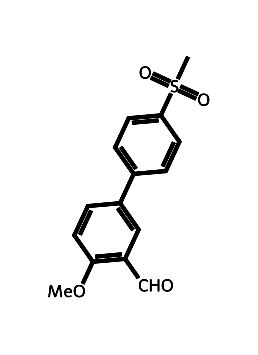 COc1ccc(-c2ccc(S(C)(=O)=O)cc2)cc1C=O